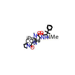 CNC(C(=O)NC(C(=O)N(C)C(CN(C)CC(=O)N1CCC[C@H]1C(=O)O)C(C)C)C(C)(C)C)C(C)(C)c1ccccc1